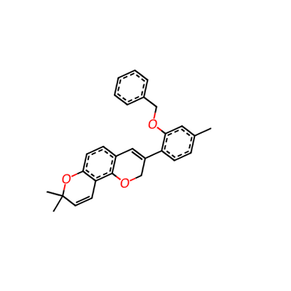 Cc1ccc(C2=Cc3ccc4c(c3OC2)C=CC(C)(C)O4)c(OCc2ccccc2)c1